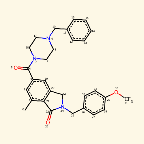 Cc1cc(C(=O)N2CCN(Cc3ccccc3)CC2)cc2c1C(=O)N(Cc1ccc(OC(F)(F)F)cc1)C2